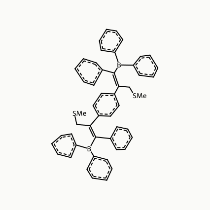 CSC/C(=C(\B(c1ccccc1)c1ccccc1)c1ccccc1)c1ccc(/C(CSC)=C(/B(c2ccccc2)c2ccccc2)c2ccccc2)cc1